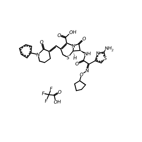 Nc1nc(/C(=N/OC2CCCC2)C(=O)N[C@@H]2C(=O)N3C(C(=O)O)=C(/C=C4\CCCN(c5ccccc5)C4=O)CS[C@H]23)cs1.O=C(O)C(F)(F)F